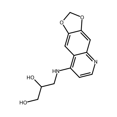 OCC(O)CNc1ccnc2cc3c(cc12)OCO3